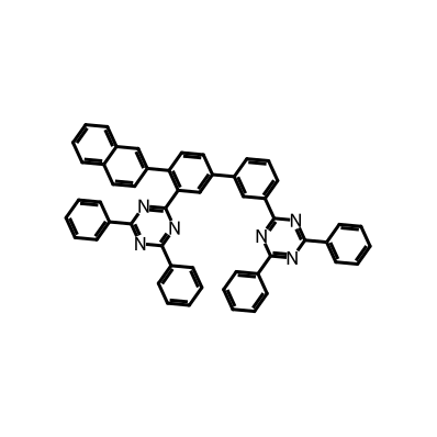 c1ccc(-c2nc(-c3ccccc3)nc(-c3cccc(-c4ccc(-c5ccc6ccccc6c5)c(-c5nc(-c6ccccc6)nc(-c6ccccc6)n5)c4)c3)n2)cc1